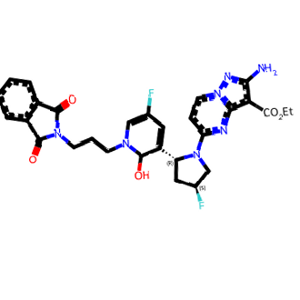 CCOC(=O)c1c(N)nn2ccc(N3C[C@@H](F)C[C@@H]3C3=CC(F)=CN(CCCN4C(=O)c5ccccc5C4=O)C3O)nc12